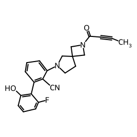 CC#CC(=O)N1CC2(CCN(c3cccc(-c4c(O)cccc4F)c3C#N)C2)C1